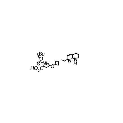 CC(C)(C)COC(=O)NC(CCO[C@H]1C[C@H](CCc2ccc3c(n2)NCCC3)C1)C(=O)O